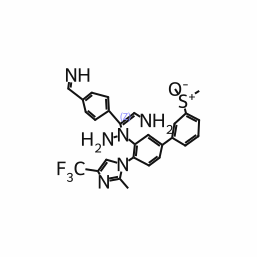 Cc1nc(C(F)(F)F)cn1-c1ccc(-c2cccc([S+](C)[O-])c2)cc1N(N)/C(=C\N)c1ccc(C=N)cc1